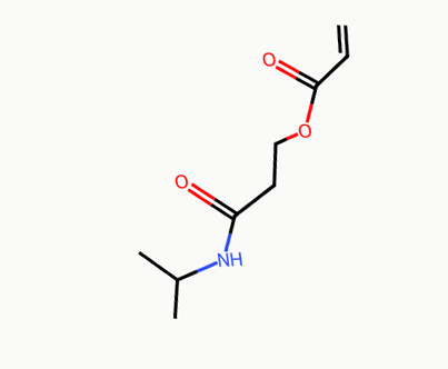 C=CC(=O)OCCC(=O)NC(C)C